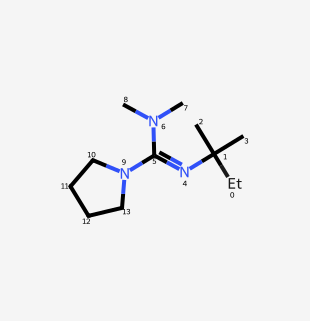 CCC(C)(C)N=C(N(C)C)N1CCCC1